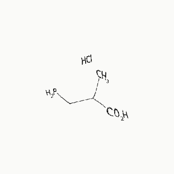 CC(CP)C(=O)O.Cl